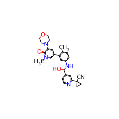 Cc1ccc(NC(O)c2ccnc(C3(C#N)CC3)c2)cc1-c1cc(N2CCOCC2)c(=O)n(C)c1